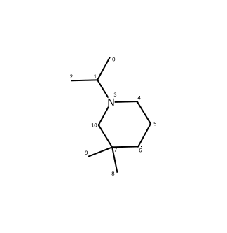 CC(C)N1CC[CH]C(C)(C)C1